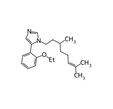 CCOc1ccccc1-c1cncn1CCC(C)CCC=C(C)C